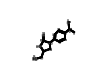 C[S+]([O-])c1ccc(N2CC(CO)OC2=O)cc1